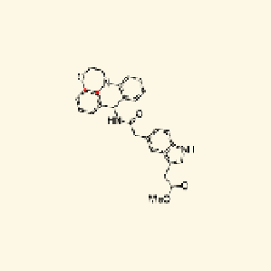 COC(=O)Cc1c[nH]c2ccc(CC(=O)NC(c3ccccc3)c3ccccc3N3CCOCC3)cc12